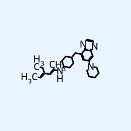 C/C=C(/C=C(\C)NC1CCC(Cc2cc(N3CCCCC3)cc3nccnc23)CC1)CC